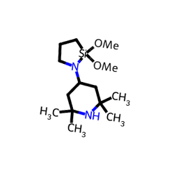 CO[Si]1(OC)CCCN1C1CC(C)(C)NC(C)(C)C1